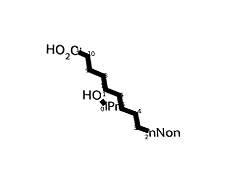 CC(C)O.CCCCCCCCCCCCCCCCCC(=O)O